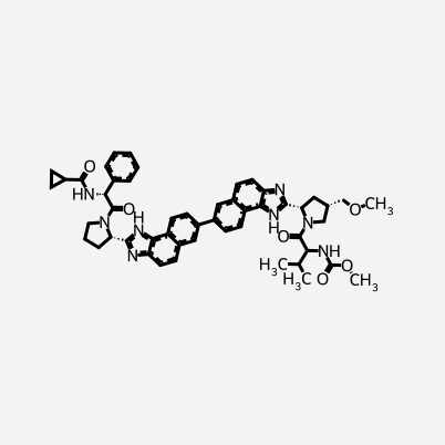 COC[C@H]1C[C@@H](c2nc3ccc4cc(-c5ccc6c(ccc7nc([C@@H]8CCCN8C(=O)[C@H](NC(=O)C8CC8)c8ccccc8)[nH]c76)c5)ccc4c3[nH]2)N(C(=O)C(NC(=O)OC)C(C)C)C1